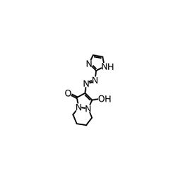 O=c1c(N=Nc2ncc[nH]2)c(O)n2n1CCCC2